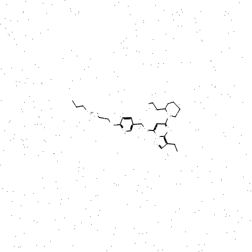 CCCNOCCOc1ccc(CNc2cc(N3CCCCC3CCO)nc3c(CC)cnn23)cn1